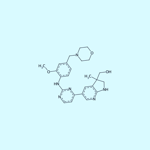 COc1cc(CN2CCOCC2)ccc1Nc1nccc(-c2cnc3c(c2)C(C)(CO)CN3)n1